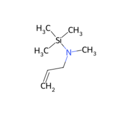 C=CCN(C)[Si](C)(C)C